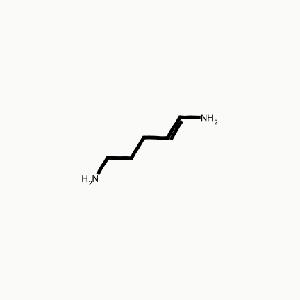 NC=CCCCN